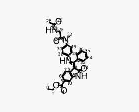 CCOC(=O)c1ccc2c(c1)NC(=O)C2=C(Nc1ccc(N(C)C(=O)CNC(C)=O)cc1)c1ccccc1